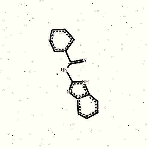 S=C(Nc1nc2ccccc2[nH]1)c1ccccc1